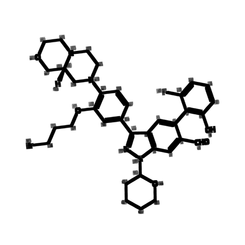 O=Cc1cc2c(cc1-c1c(O)cccc1F)c(-c1ccc(N3CCN4CCOC[C@H]4C3)c(OCCCBr)c1)nn2C1CCCCO1